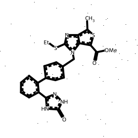 CCSc1nc2c(C)sc(C(=O)OC)c2n1Cc1ccc(-c2ccccc2-c2n[nH]c(=O)[nH]2)cc1